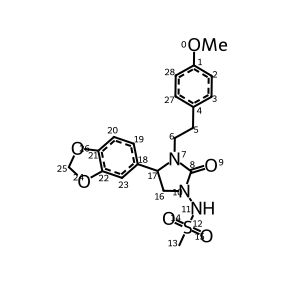 COc1ccc(CCN2C(=O)N(NS(C)(=O)=O)CC2c2ccc3c(c2)OCO3)cc1